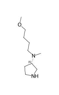 COCCCCN(C)[C@H]1CCNC1